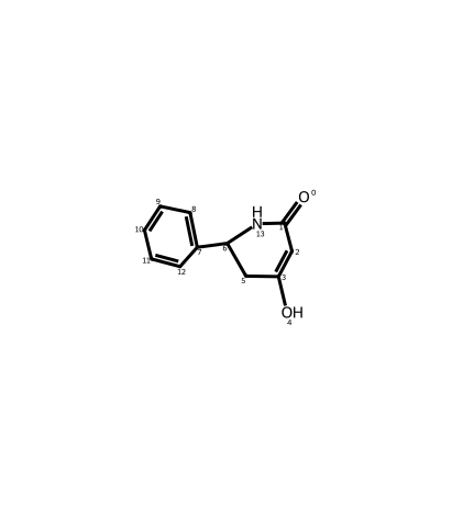 O=C1C=C(O)CC(c2ccccc2)N1